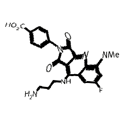 CNc1cc(F)cc2c(NCCCN)c3c(nc12)C(=O)N(c1ccc(C(=O)O)cc1)C3=O